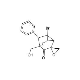 O=C1C2(CO)CC(Br)C(CC2c2ccccc2)[C@@]12CO2